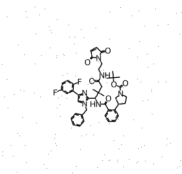 CC(C)(C)OC(=O)N1CCC(c2ccccc2C(=O)N[C@@H](c2nc(-c3cc(F)ccc3F)cn2Cc2ccccc2)C(C)(C)CC(=O)NCCN2C(=O)C=CC2=O)C1